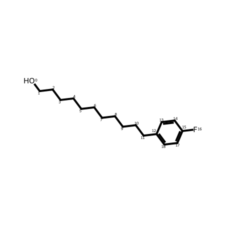 OCCCCCCCCCCCc1ccc(F)cc1